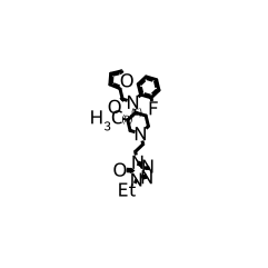 CCn1nnn(CCN2CC[C@H](N(C(=O)c3ccco3)c3ccccc3F)[C@H](C)C2)c1=O